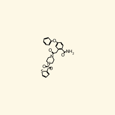 NC(=O)c1ccc(Oc2ccccc2)cc1CC(=O)N1CCN(S(=O)(=O)c2cccs2)CC1